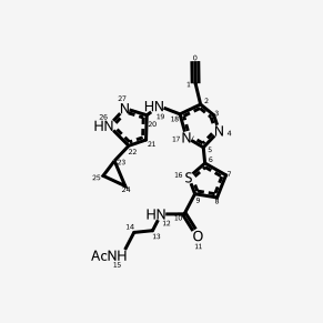 C#Cc1cnc(-c2ccc(C(=O)NCCNC(C)=O)s2)nc1Nc1cc(C2CC2)[nH]n1